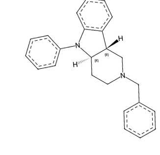 c1ccc(CN2CC[C@@H]3[C@@H](C2)c2ccccc2N3c2ccccc2)cc1